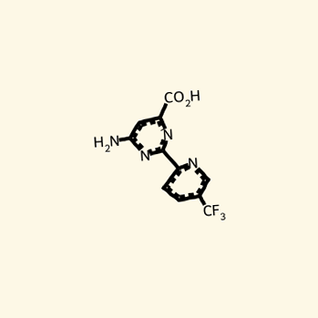 Nc1cc(C(=O)O)nc(-c2ccc(C(F)(F)F)cn2)n1